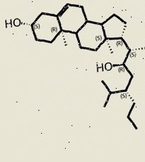 CCC[C@@H](C[C@@H](O)[C@@H](C)[C@H]1CCC2C3CC=C4C[C@@H](O)CC[C@]4(C)C3CC[C@@]21C)C(C)C